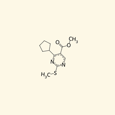 COC(=O)c1cnc(SC)nc1C1CCCC1